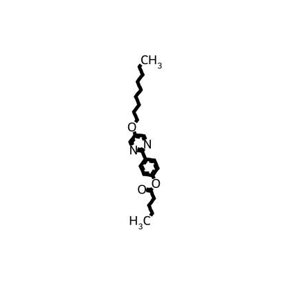 CCCCCCCCCOc1cnc(-c2ccc(OC(=O)CCCC)cc2)nc1